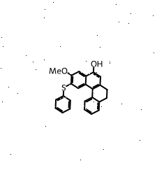 COc1cc2c(O)cc3c(c2cc1Sc1ccccc1)-c1ccccc1CC3